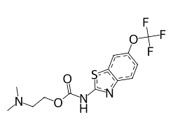 CN(C)CCOC(=O)Nc1nc2ccc(OC(F)(F)F)cc2s1